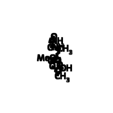 COc1c(CCC(C)CNC(=O)[C@@H]2CCC(=O)N2)ccc2c1C(=O)OCc1cc(C)cc(O)c1O2